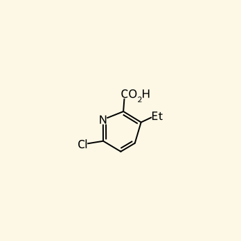 CCc1ccc(Cl)nc1C(=O)O